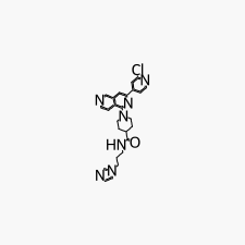 O=C(NCCCn1ccnc1)C1CCN(c2nc(-c3ccnc(Cl)c3)cc3cnccc23)CC1